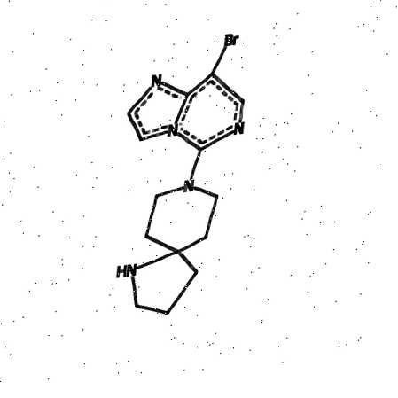 Brc1cnc(N2CCC3(CCCN3)CC2)n2ccnc12